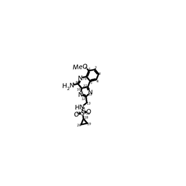 COc1cccc2c1N=C(N)C1N=C(CNS(=O)(=O)C3CC3)N=C21